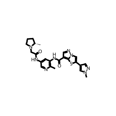 Cc1ncc(NC(=O)CN2CCC[C@@H]2C)cc1NC(=O)c1cnn2cc(-c3cnn(C)c3)sc12